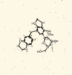 OC[C@H]1O[C@@H](c2cc(Cc3ccc4c(c3)OCCO4)c3c(c2O)CCO3)[C@H](O)[C@@H](O)[C@@H]1F